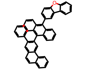 c1ccc(-c2cc3ccc4ccccc4c3cc2-c2c3ccccc3c(-c3ccc4oc5ccccc5c4c3)c3ccccc23)cc1